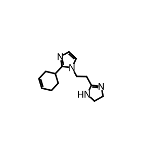 C1=CCC(c2nccn2CCC2=NCCN2)CC1